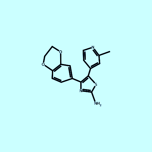 Cc1cc(-c2sc(N)nc2-c2ccc3c(c2)OCCO3)ccn1